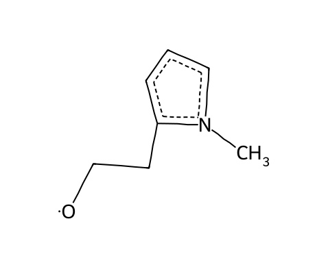 Cn1cccc1CC[O]